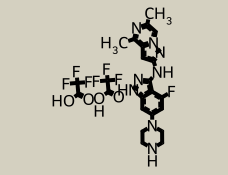 Cc1cn2nc(Nc3n[nH]c4cc(N5CCNCC5)cc(F)c34)cc2c(C)n1.O=C(O)C(F)(F)F.O=C(O)C(F)(F)F